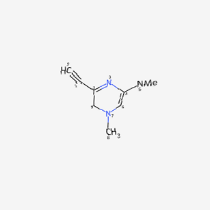 C#CC1=NC(NC)=CN(C)C1